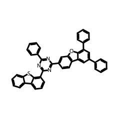 c1ccc(-c2cc(-c3ccccc3)c3oc4cc(-c5nc(-c6ccccc6)nc(-c6cccc7c6sc6ccccc67)n5)ccc4c3c2)cc1